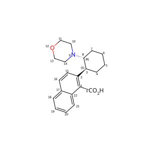 O=C(O)c1c([C@@H]2CCCC[C@H]2N2CCOCC2)ccc2ccccc12